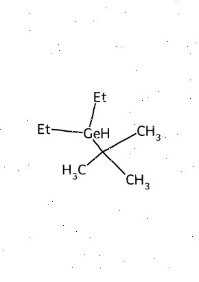 C[CH2][GeH]([CH2]C)[C](C)(C)C